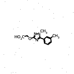 Cc1cccc(-c2nc(OCC(=O)O)nn2C)c1